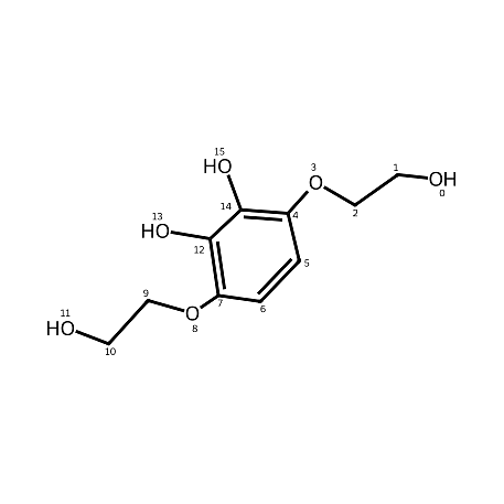 OCCOc1ccc(OCCO)c(O)c1O